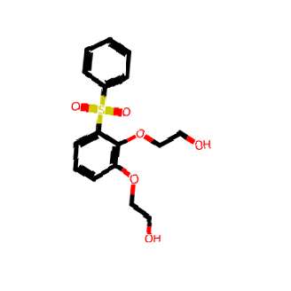 O=S(=O)(c1ccccc1)c1cccc(OCCO)c1OCCO